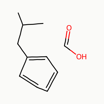 CC(C)Cc1ccccc1.O=CO